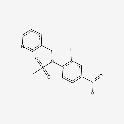 CS(=O)(=O)N(Cc1cccnc1)c1ccc([N+](=O)[O-])cc1I